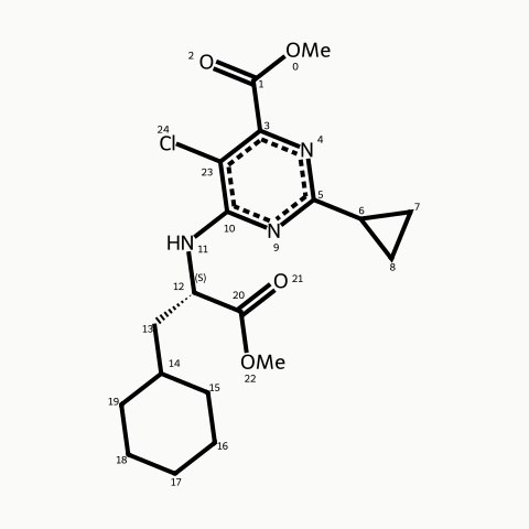 COC(=O)c1nc(C2CC2)nc(N[C@@H](CC2CCCCC2)C(=O)OC)c1Cl